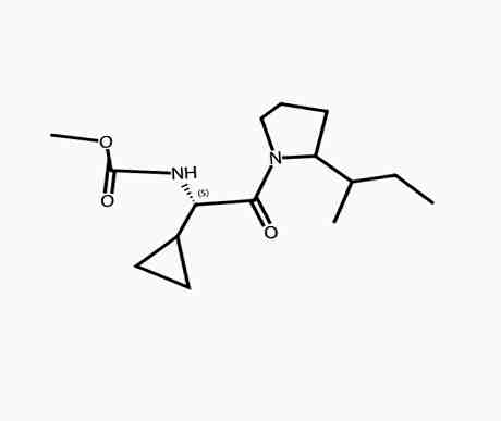 CCC(C)C1CCCN1C(=O)[C@@H](NC(=O)OC)C1CC1